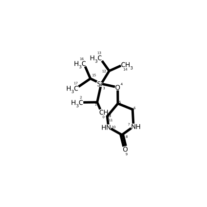 CC(C)[Si](OC1CNC(=O)NC1)(C(C)C)C(C)C